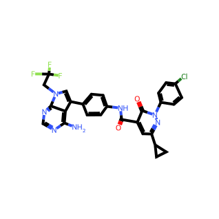 Nc1ncnc2c1c(-c1ccc(NC(=O)c3cc(C4CC4)nn(-c4ccc(Cl)cc4)c3=O)cc1)cn2CC(F)(F)F